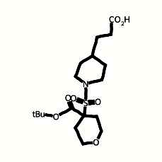 CC(C)(C)OC(=O)C1(S(=O)(=O)N2CCC(CCC(=O)O)CC2)CCOCC1